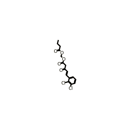 CCCC(=O)OCOC(=O)CC(=O)C=Cc1cccc(Cl)c1Cl